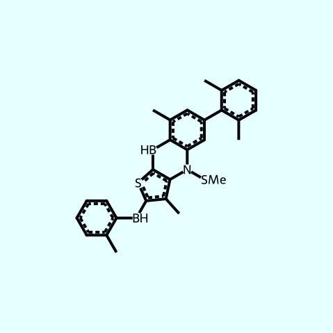 CSN1c2cc(-c3c(C)cccc3C)cc(C)c2Bc2sc(Bc3ccccc3C)c(C)c21